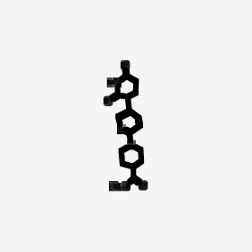 CC(C)COC(=O)C1CCN(c2ccc(C3CCC(=O)NC3=O)cn2)CC1